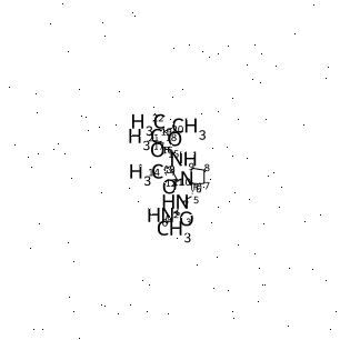 CNC(=O)NC[C@H]1CCCN1C(=O)[C@H](C)NC(=O)OC(C)(C)C